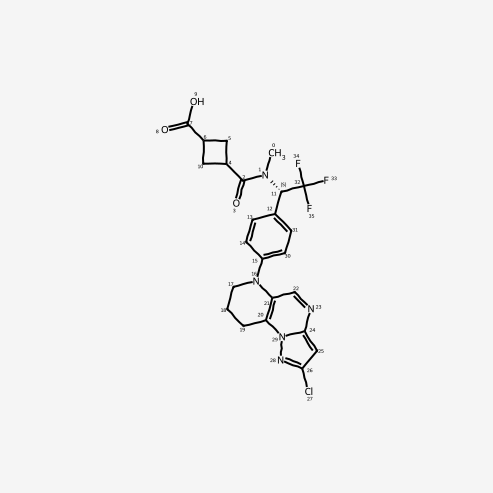 CN(C(=O)C1CC(C(=O)O)C1)[C@@H](c1ccc(N2CCCc3c2cnc2cc(Cl)nn32)cc1)C(F)(F)F